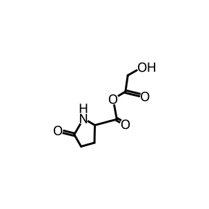 O=C1CCC(C(=O)OC(=O)CO)N1